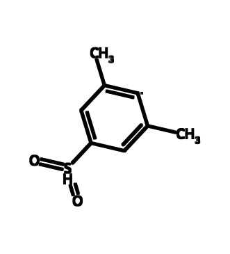 Cc1[c]c(C)cc([SH](=O)=O)c1